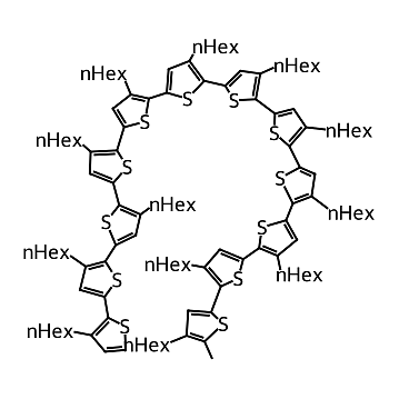 CCCCCCc1cc(-c2sc(-c3sc(-c4sc(-c5sc(-c6sc(-c7sc(-c8sc(-c9sc(-c%10sc(-c%11sc(-c%12sccc%12CCCCCC)cc%11CCCCCC)cc%10CCCCCC)cc9CCCCCC)cc8CCCCCC)cc7CCCCCC)cc6CCCCCC)cc5CCCCCC)cc4CCCCCC)cc3CCCCCC)cc2CCCCCC)sc1C